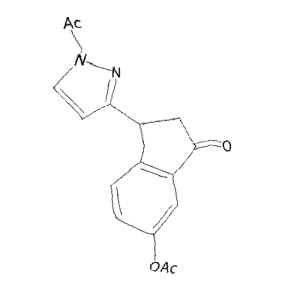 CC(=O)Oc1ccc2c(c1)C(=O)CC2c1ccn(C(C)=O)n1